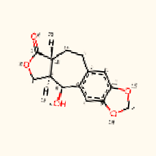 O=C1OC[C@@H]2[C@H](O)c3cc4c(cc3CC[C@@H]12)OCO4